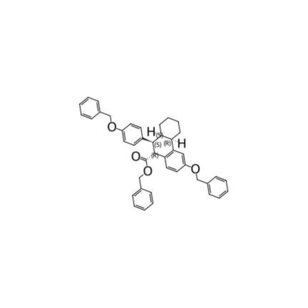 O=C(OCc1ccccc1)[C@H]1c2ccc(OCc3ccccc3)cc2[C@@H]2CCCC[C@@H]2[C@@H]1c1ccc(OCc2ccccc2)cc1